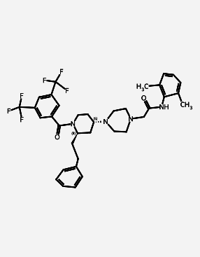 Cc1cccc(C)c1NC(=O)CN1CCN([C@H]2CCN(C(=O)c3cc(C(F)(F)F)cc(C(F)(F)F)c3)[C@H](CCc3ccccc3)C2)CC1